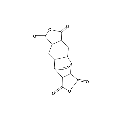 O=C1OC(=O)C2CC3C4C=CC(C3CC12)C1C(=O)OC(=O)C41